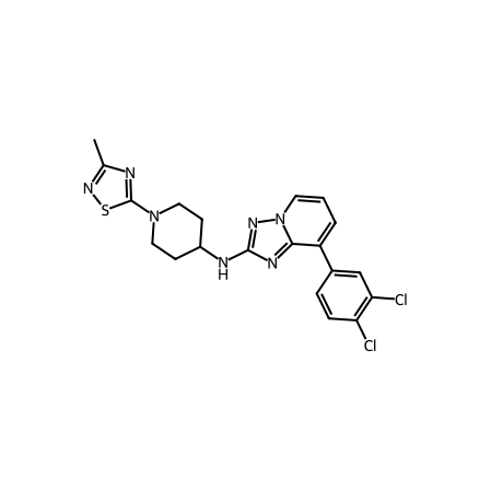 Cc1nsc(N2CCC(Nc3nc4c(-c5ccc(Cl)c(Cl)c5)cccn4n3)CC2)n1